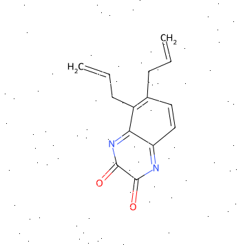 C=CCc1ccc2c(c1CC=C)=NC(=O)C(=O)N=2